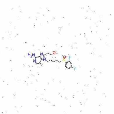 COCCc1nc2c(N)ncc(C)c2n1CCCCC[S+]([O-])c1ccc(F)cc1F